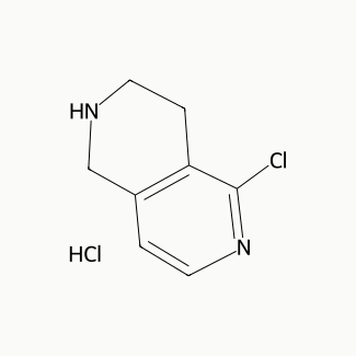 Cl.Clc1nccc2c1CCNC2